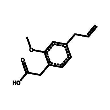 C=CCc1ccc(CC(=O)O)c(OC)c1